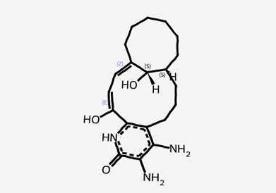 Nc1c2c([nH]c(=O)c1N)/C(O)=C\C=C1\CCCCCC[C@@H](CCC2)[C@@H]1O